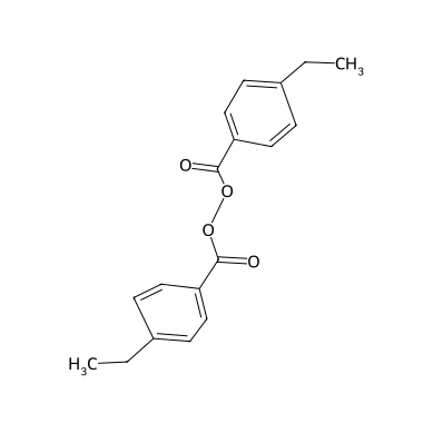 CCc1ccc(C(=O)OOC(=O)c2ccc(CC)cc2)cc1